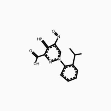 CC(C)c1ccccc1-n1cc(N=O)c(=P)c(C(=O)O)n1